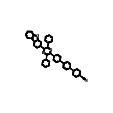 N#Cc1ccc(-c2ccc(-c3ccc(-c4nc(-c5ccccc5)c(-c5ccc6c(c5)oc5ccccc56)nc4-c4ccccc4)cc3)cc2)cc1